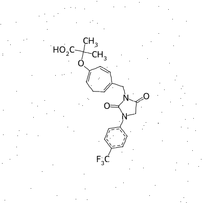 CC(C)(OC1=CCC=C(CN2C(=O)CN(c3ccc(C(F)(F)F)cc3)C2=O)C=C1)C(=O)O